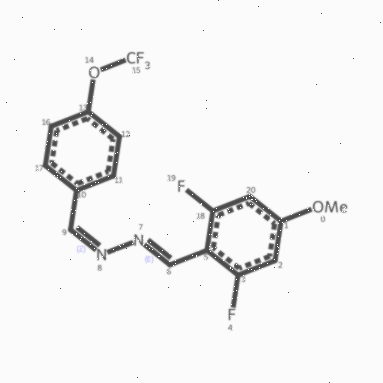 COc1cc(F)c(/C=N/N=C\c2ccc(OC(F)(F)F)cc2)c(F)c1